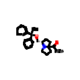 COC(=O)C12CCCN1[C@H](CO[Si](c1ccccc1)(c1ccccc1)C(C)(C)C)CC2